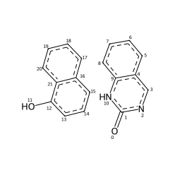 O=c1ncc2ccccc2[nH]1.Oc1cccc2ccccc12